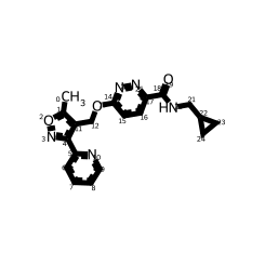 Cc1onc(-c2ccccn2)c1COc1ccc(C(=O)NCC2CC2)nn1